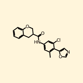 Cc1cc(NC(=O)C2COc3ccccc3C2)cc(Cl)c1-c1cnco1